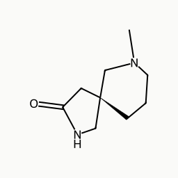 CN1CCC[C@]2(CNC(=O)C2)C1